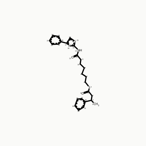 CC(CC(=O)SCCCCCCC(=O)Nc1nc(-c2ccccc2)cs1)c1ccccc1